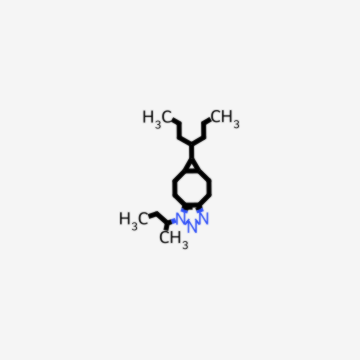 CCCC(CCC)C1C2CCc3nnn(C(C)CC)c3CCC21